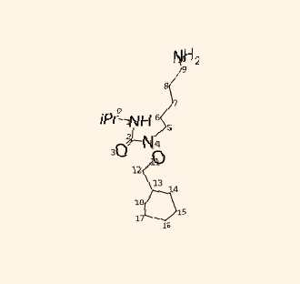 CC(C)NC(=O)N(CCCCCN)OCC1CCCCC1